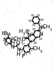 Cc1cc(F)c(NC(=O)Nc2onc(C(C)(C)C)c2C)cc1-c1cc2cnc(N(C)c3ccccc3)cc2n(C)c1=O